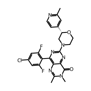 Cc1cc([C@H]2CN(c3nc(-c4c(F)cc(Cl)cc4F)c4nc(C)n(C)c(=O)c4n3)CCO2)ccn1